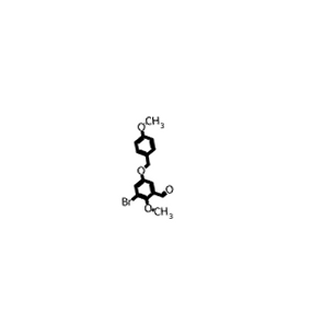 COc1ccc(COc2cc(Br)c(OC)c(C=O)c2)cc1